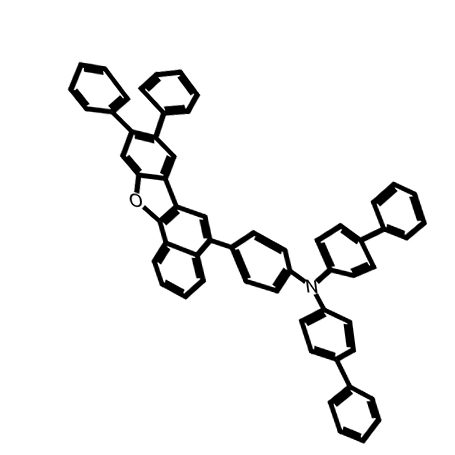 c1ccc(-c2ccc(N(c3ccc(-c4ccccc4)cc3)c3ccc(-c4cc5c6cc(-c7ccccc7)c(-c7ccccc7)cc6oc5c5ccccc45)cc3)cc2)cc1